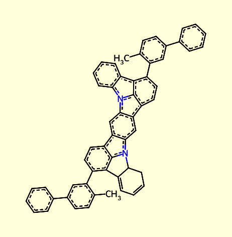 Cc1ccc(-c2ccccc2)cc1-c1ccc2c3cc4c(cc3n3c2c1C1=CC=CCC13)c1ccc(-c2cc(-c3ccccc3)ccc2C)c2c3ccccc3n4c12